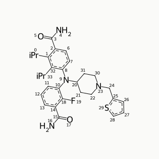 CC(C)c1c(C(N)=O)ccc(N(c2cccc(C(N)=O)c2F)C2CCN(Cc3cccs3)CC2)c1C(C)C